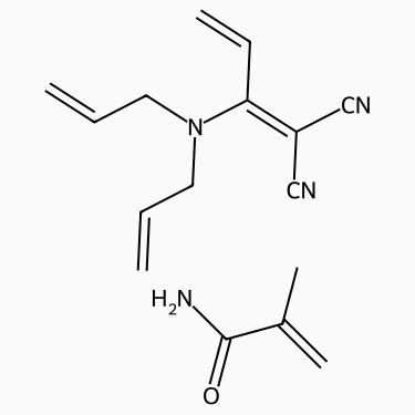 C=C(C)C(N)=O.C=CCN(CC=C)C(C=C)=C(C#N)C#N